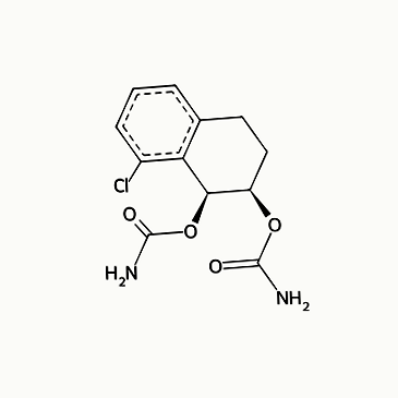 NC(=O)O[C@@H]1CCc2cccc(Cl)c2[C@@H]1OC(N)=O